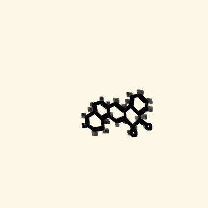 O=C1C(=O)c2cc3c(ccc4ccccc43)cc2-c2ccccc21